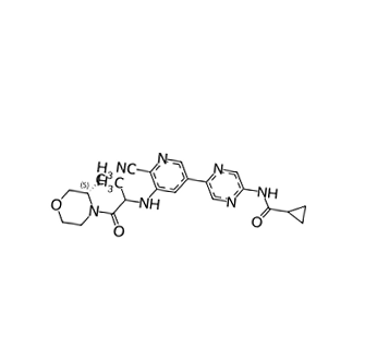 CC(Nc1cc(-c2cnc(NC(=O)C3CC3)cn2)cnc1C#N)C(=O)N1CCOC[C@@H]1C